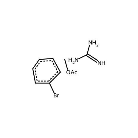 Brc1ccccc1.COC(C)=O.N=C(N)N